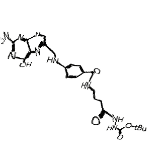 CC(C)(C)OC(=O)NNC(=O)CCCNC(=O)c1ccc(NCc2cnc3nc(N)nc(O)c3n2)cc1